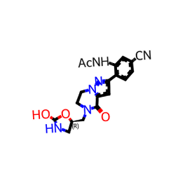 CC(=O)Nc1cc(C#N)ccc1-c1cc2n(n1)CCN(C[C@H]1CNC(O)O1)C2=O